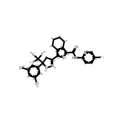 O=C(Nc1ccc(F)cn1)c1sc(C2=NOC(c3cc(Cl)cc(Cl)c3)(C(F)(F)F)C2)c2c1CCCC2